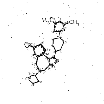 Cc1cc(C)nc(N2CCC(c3nnc4n3-c3ccc(Cl)cc3CN([C@H]3CCOC3)C4)CC2)c1